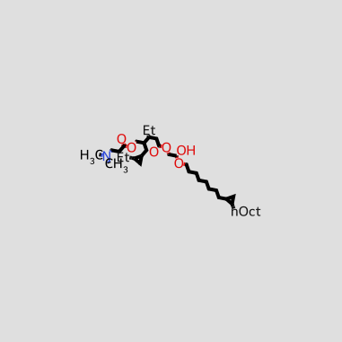 CCCCCCCCC1CC1CCCCCCCCOC(O)COC(=O)CC(CC)C(COC(=O)CCN(C)C)CC1CC1CC